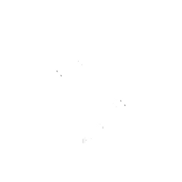 Cc1cnc(-c2ccc(OC(C)C)c(C#N)c2)s1